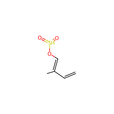 C=CC(C)=CO[SH](=O)=O